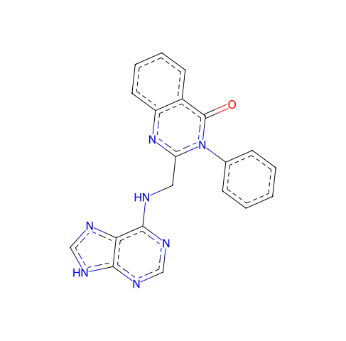 O=c1c2ccccc2nc(CNc2ncnc3[nH]cnc23)n1-c1ccccc1